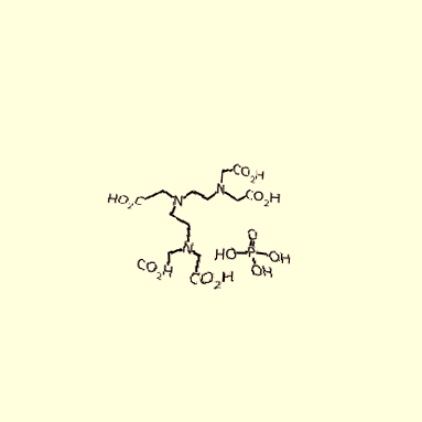 O=C(O)CN(CCN(CC(=O)O)CC(=O)O)CCN(CC(=O)O)CC(=O)O.O=P(O)(O)O